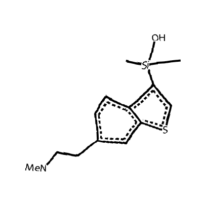 CNCCc1ccc2c([Si](C)(C)O)csc2c1